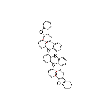 C1=Cc2oc3ccc(-c4cccc5c4N(c4ccccc4)c4cccc6c4B5c4cccc(-c5ccc7oc8ccccc8c7c5)c4N6c4ccccc4)cc3c2CC1